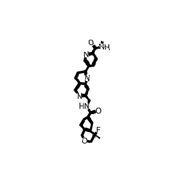 CNC(=O)c1ccc(-c2ccc3cnc(CNC(=O)c4ccc5c(c4)[C@](C)(F)COC5)cc3n2)cn1